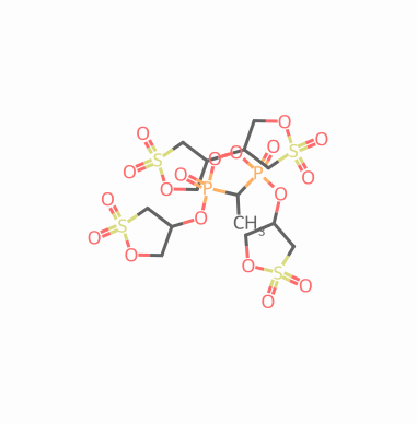 CC(P(=O)(OC1COS(=O)(=O)C1)OC1COS(=O)(=O)C1)P(=O)(OC1COS(=O)(=O)C1)OC1COS(=O)(=O)C1